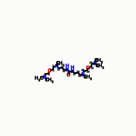 CN(C)CCOCCN(C)CCCNC(=O)NCCCN(C)CCOCCN(C)C